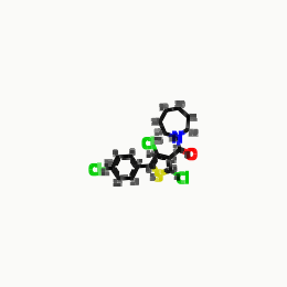 O=C(c1c(Cl)sc(-c2ccc(Cl)cc2)c1Cl)N1CCCCCC1